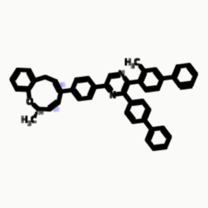 Cc1cc(-c2c#cccc2)ccc1-c1ncc(-c2ccc(C3=C/Cc4ccccc4O[C@@H](C)/C=C\3)cc2)nc1-c1ccc(-c2ccccc2)cc1